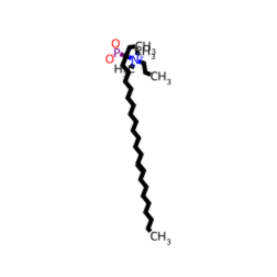 CCCCCCCCC=CCCCCCCCCCCCCC(CC)(P(=O)=O)[N+](C)(C)CCC